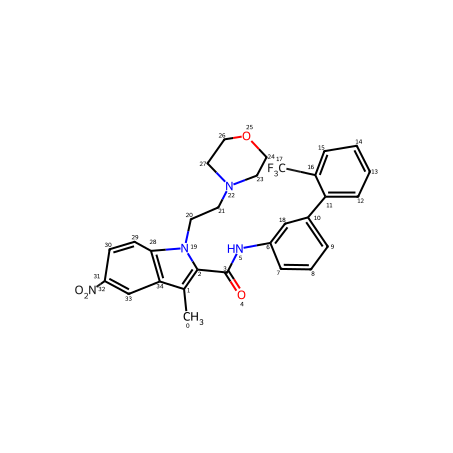 Cc1c(C(=O)Nc2cccc(-c3ccccc3C(F)(F)F)c2)n(CCN2CCOCC2)c2ccc([N+](=O)[O-])cc12